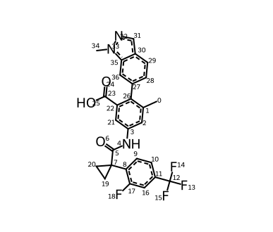 Cc1cc(NC(=O)C2(c3ccc(C(F)(F)F)cc3F)CC2)cc(C(=O)O)c1-c1ccc2cnn(C)c2c1